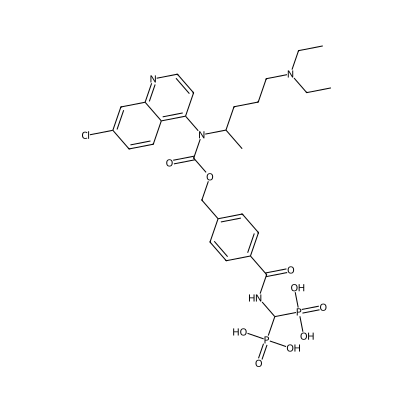 CCN(CC)CCCC(C)N(C(=O)OCc1ccc(C(=O)NC(P(=O)(O)O)P(=O)(O)O)cc1)c1ccnc2cc(Cl)ccc12